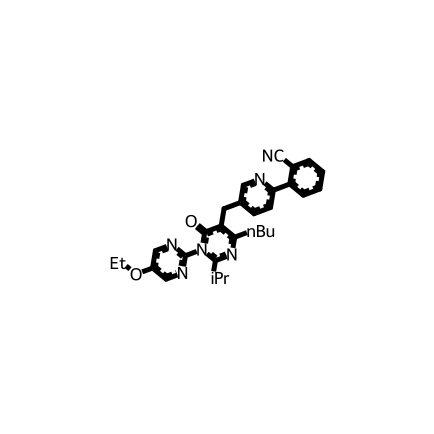 CCCCc1nc(C(C)C)n(-c2ncc(OCC)cn2)c(=O)c1Cc1ccc(-c2ccccc2C#N)nc1